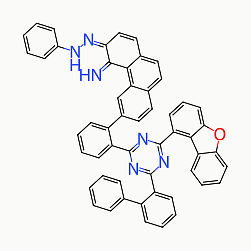 N=C1/C(=N\Nc2ccccc2)C=Cc2ccc3ccc(-c4ccccc4-c4nc(-c5ccccc5-c5ccccc5)nc(-c5cccc6oc7ccccc7c56)n4)cc3c21